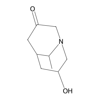 CC1C2CC(=O)CN1CC(O)C2